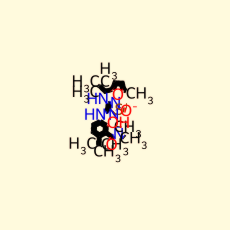 Cc1ccc([C@H](Nc2n[s+]([O-])nc2Nc2ccc(C(C)(C)C)c(C(=O)N(C)C)c2O)C(C)(C)C)o1